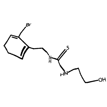 OCCNC(=S)NCC1=CCCC=C1Br